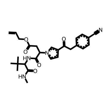 C=CCOC(=O)CC(C(=O)NC(C(=O)NC)C(C)(C)C)n1ccc(C(=O)Cc2ccc(C#N)cc2)c1